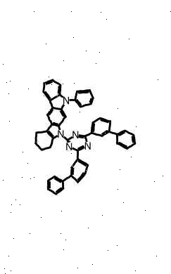 c1ccc(-c2cccc(-c3nc(-c4cccc(-c5ccccc5)c4)nc(-n4c5c(c6cc7c8ccccc8n(-c8ccccc8)c7cc64)CCCC5)n3)c2)cc1